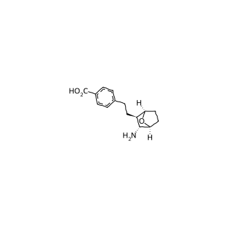 N[C@@H]1[C@@H](CCc2ccc(C(=O)O)cc2)[C@H]2CC[C@@H]1O2